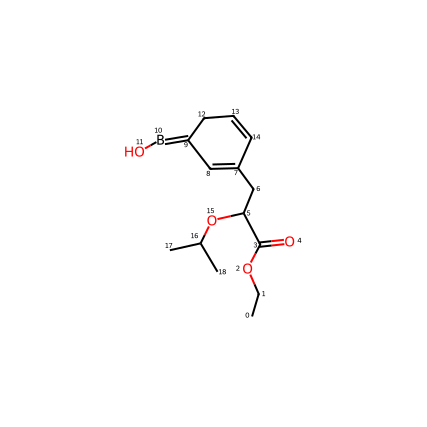 CCOC(=O)C(CC1=C/C(=B/O)CC=C1)OC(C)C